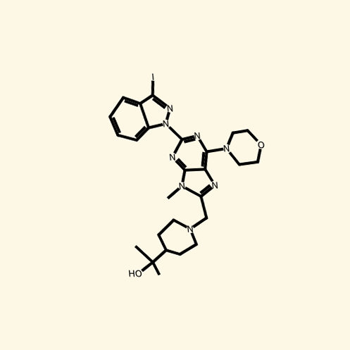 Cn1c(CN2CCC(C(C)(C)O)CC2)nc2c(N3CCOCC3)nc(-n3nc(I)c4ccccc43)nc21